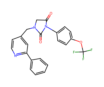 O=C1CN(Cc2ccnc(-c3ccccc3)c2)C(=O)N1c1ccc(OC(F)(F)F)cc1